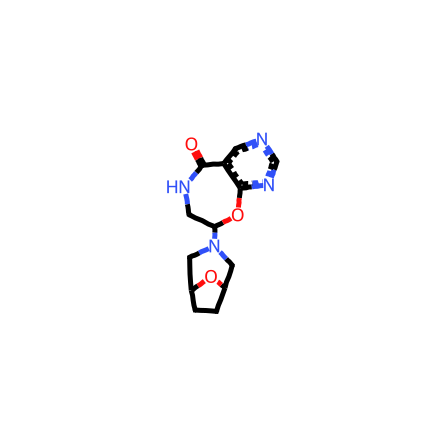 O=C1NCC(N2CC3CCC(C2)O3)Oc2ncncc21